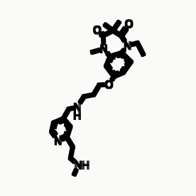 CCN1C(=O)C(C)(C)C(=O)N(C)c2cc(OCCCNCc3ccnc(CCNC)c3)ccc21